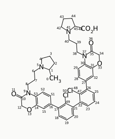 CC1CCCN1CCCN1C(=O)COc2cc(-c3cccc(-c4cccc(-c5ccc6c(c5)OCC(=O)N6CCCN5CCCC5C(=O)O)c4Cl)c3Cl)ccc21